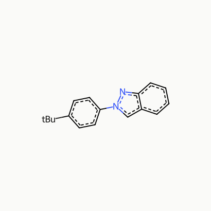 CC(C)(C)c1ccc(-n2cc3ccccc3n2)cc1